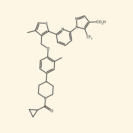 Cc1cc(C2CCN(C(=O)C3CC3)CC2)ccc1OCc1c(C)csc1-c1cccc(-n2ncc(C(=O)O)c2C(F)(F)F)n1